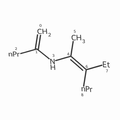 C=C(CCC)N/C(C)=C(/CC)CCC